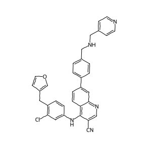 N#Cc1cnc2cc(-c3ccc(CNCc4ccncc4)cc3)ccc2c1Nc1ccc(Cc2ccoc2)c(Cl)c1